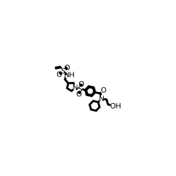 C=CS(=O)(=O)NCC1CCN(S(=O)(=O)c2ccc(C(=O)N(CCO)C3CCCCC3)cc2)C1